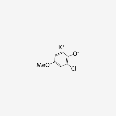 COc1ccc([O-])c(Cl)c1.[K+]